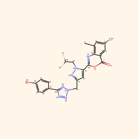 Cc1cc(Cl)cc2c(=O)oc(-c3cc(Cn4nnc(-c5ccc(Br)cc5)n4)nn3CC(F)F)nc12